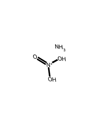 N.O=[N+](O)O